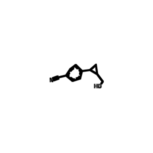 N#Cc1ccc(C2CC2CO)cc1